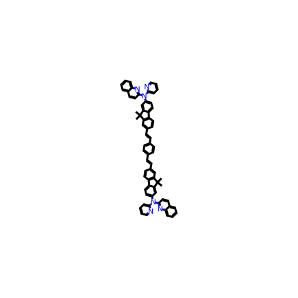 CC1(C)c2cc(/C=C/c3ccc(/C=C/c4ccc5c(c4)C(C)(C)c4cc(N(c6ccccn6)c6ccc7ccccc7n6)ccc4-5)cc3)ccc2-c2ccc(N(c3ccccn3)c3ccc4ccccc4n3)cc21